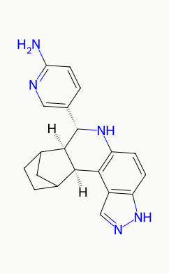 Nc1ccc([C@@H]2Nc3ccc4[nH]ncc4c3[C@H]3C4CCC(C4)[C@@H]23)cn1